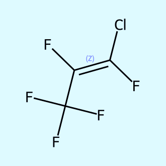 F/C(Cl)=C(/F)C(F)(F)F